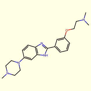 CN(C)CCOc1cccc(-c2nc3ccc(N4CCN(C)CC4)cc3[nH]2)c1